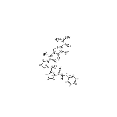 CC(C)[C@H](N)C(=O)N[C@H](C(=O)N(C)[C@H](C(=O)N1CCC[C@H]1C(=O)N1CCC[C@H]1C(=O)NCc1ccccc1)C(C)C)C(C)C